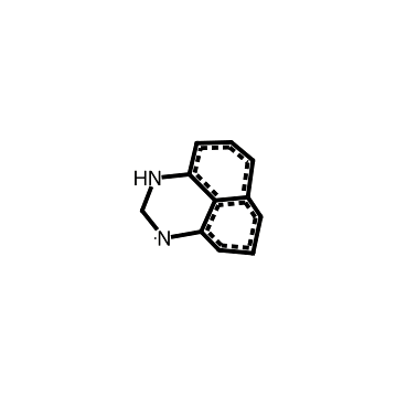 c1cc2c3c(cccc3c1)NC[N]2